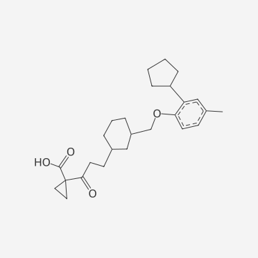 Cc1ccc(OCC2CCCC(CCC(=O)C3(C(=O)O)CC3)C2)c(C2CCCC2)c1